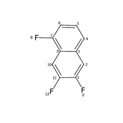 Fc1cc2cccc(F)c2cc1F